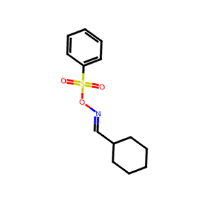 O=S(=O)(ON=CC1CCCCC1)c1ccccc1